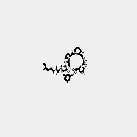 C=C/C(C)=C\C=C(/C)NC(=O)N[C@@H](Cc1cc(F)cc(F)c1)C(=O)N[C@H]1COC(=O)C2C[C@H](C)CN2C(=O)[C@H](C)NC(=O)C2CCCCN2C(=O)C2CCCN2C1=O